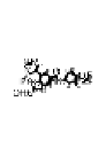 CC(C)N1c2c(cc(C(=O)Nc3ccc(OC(F)(F)Cl)cc3)cc2-c2cncnc2)CC1C=O